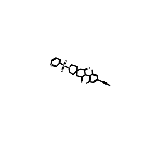 CC#Cc1cc(C)c(C2C(=O)CC3(CCN(S(=O)(=O)c4cccnc4)CC3)CC2=O)c(C)c1